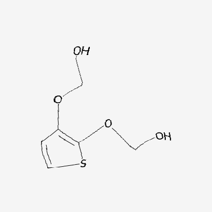 OCOc1ccsc1OCO